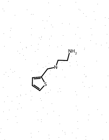 NCC[N]Cc1cccs1